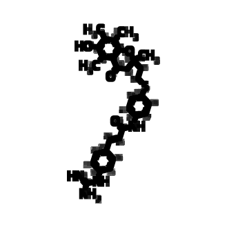 Cc1c(C)c2c(c(C)c1O)C(=O)CC(C)(CCSc1ccc(NC(=O)C=Cc3ccc(NC(=N)N)cc3)cc1)O2